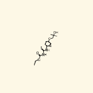 CCOC(=O)NC(=S)Nc1ccc(OCC(C)(C)O)cn1